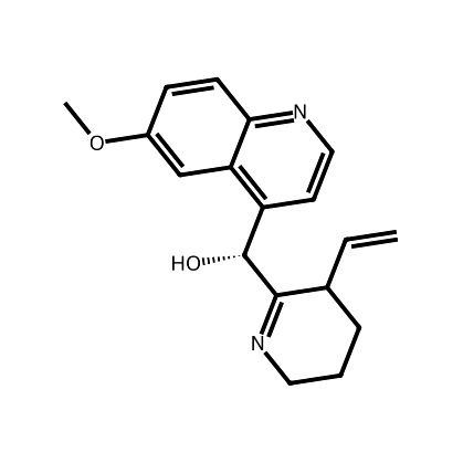 C=CC1CCCN=C1[C@H](O)c1ccnc2ccc(OC)cc12